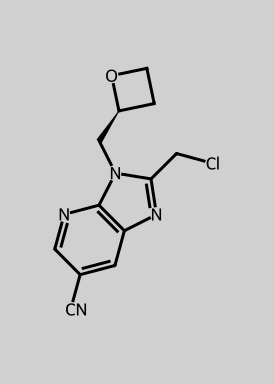 N#Cc1cnc2c(c1)nc(CCl)n2C[C@@H]1CCO1